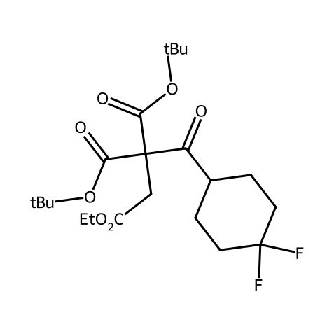 CCOC(=O)CC(C(=O)OC(C)(C)C)(C(=O)OC(C)(C)C)C(=O)C1CCC(F)(F)CC1